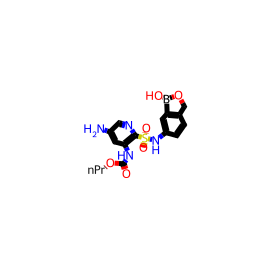 CCCOC(=O)Nc1cc(N)cnc1S(=O)(=O)Nc1ccc2c(c1)B(O)OC2